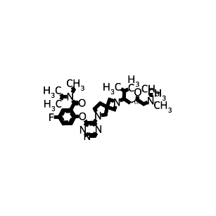 CCN(C(=O)c1cc(F)ccc1Oc1nncnc1N1CCC2(C1)CN(C(C[C@@H](CN(C)C)OC)C(C)C)C2)C(C)C